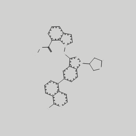 COC(=O)c1cccc2ccn(Nc3nn(C4CCOC4)c4ccc(-c5cccc6c(N)nccc56)cc34)c12